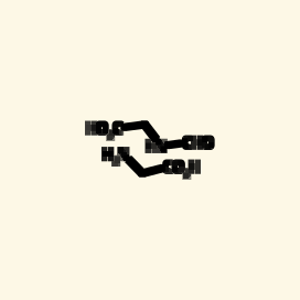 NCC(=O)O.O=CNCC(=O)O